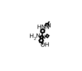 Cc1cc(Nc2ccc(-c3c(N)c4ccc(O)cc4n3C3CCC3)cc2)n(C)n1